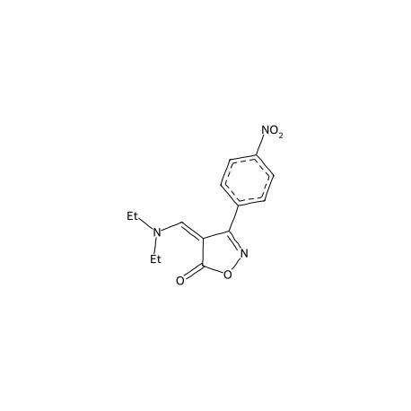 CCN(/C=C1\C(=O)ON=C1c1ccc([N+](=O)[O-])cc1)CC